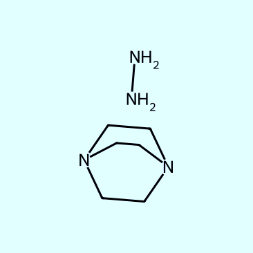 C1CN2CCN1CC2.NN